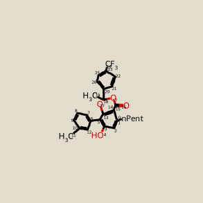 CCCCCc1cc(O)c(-c2cccc(C)c2)c2c1C(=O)OC(C)(c1ccc(C(F)(F)F)cc1)O2